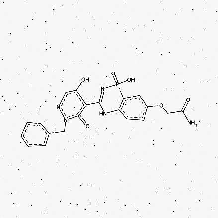 NC(=O)COc1ccc2c(c1)P(=O)(O)N=C(c1c(O)cnn(Cc3ccccc3)c1=O)N2